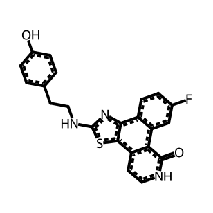 O=c1[nH]ccc2c3sc(NCCc4ccc(O)cc4)nc3c3ccc(F)cc3c12